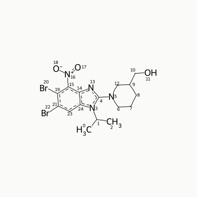 CC(C)n1c(N2CCCC(CO)C2)nc2c([N+](=O)[O-])c(Br)c(Br)cc21